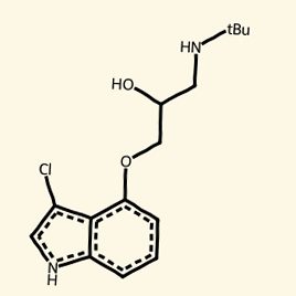 CC(C)(C)NCC(O)COc1cccc2[nH]cc(Cl)c12